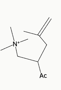 C=C(C)CC(C[N+](C)(C)C)C(C)=O